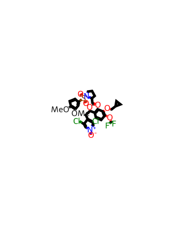 COc1ccc(S(=O)(=O)N2CCCC2C(=O)OC(Cc2c(Cl)c[n+]([O-])cc2Cl)c2ccc(OC(F)F)c(OCC3CC3)c2)cc1OC